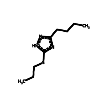 CCCCc1n[nH]c(SCCC)n1